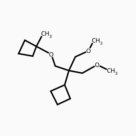 COCC(COC)(COC1(C)CCC1)C1CCC1